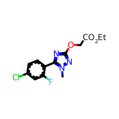 CCOC(=O)COc1nc(-c2ccc(Cl)cc2F)n(C)n1